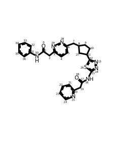 O=C(Cc1ccc(CC2CCC(c3nnc(NC(=O)Cc4ccccn4)s3)C2)nn1)Nc1ccccc1